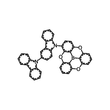 c1cc2c3c(c1)Oc1ccc(-n4c5ccccc5c5cc(-n6c7ccccc7c7ccccc76)ccc54)c4c1B3c1c(cccc1O4)O2